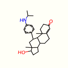 CC(C)Nc1ccc(C2CC3(C)C(O)CCC3C3CCC4=CC(=O)CCC4(C)C23)cc1